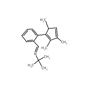 CC1=CC(C)C(c2ccccc2C=NC(C)(C)C)=C1C